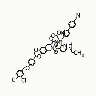 CCNc1ccc(S(=O)(=O)N2Cc3cc4c(cc3C[C@H]2C(=O)N[C@@H](Cc2ccc(-c3ccc(C#N)cc3)cc2)C(=O)O)OCC(c2ccc(OCc3ccc(Cl)c(Cl)c3)cc2)O4)c(C)n1